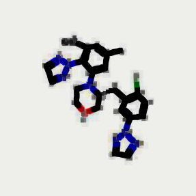 Cc1cc(C=O)c(-n2nccn2)c(N2CCOC[C@H]2Cc2cc(-n3nccn3)ccc2F)c1